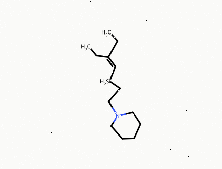 CCC(=C[SiH2]CCN1CCCCC1)CC